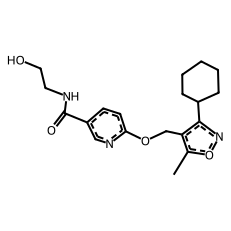 Cc1onc(C2CCCCC2)c1COc1ccc(C(=O)NCCO)cn1